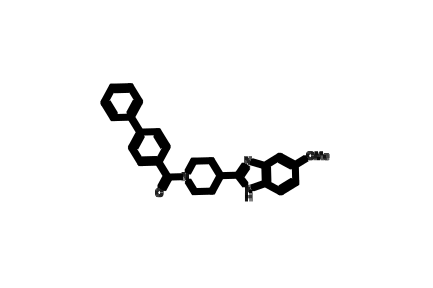 COc1ccc2[nH]c(C3CCN(C(=O)c4ccc(-c5ccccc5)cc4)CC3)nc2c1